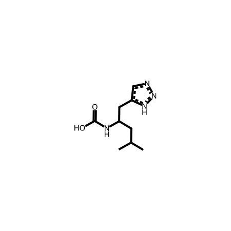 CC(C)CC(Cc1cnn[nH]1)NC(=O)O